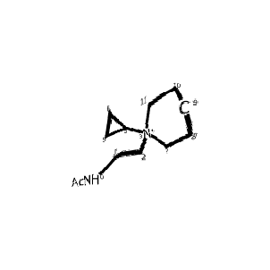 CC(=O)NCC[N+]1(C2CC2)CCCCC1